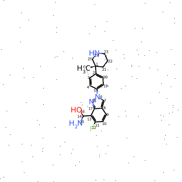 C[C@]1(c2ccc(-n3cc4ccc(F)c(C(N)O)c4n3)cc2)CCCNC1